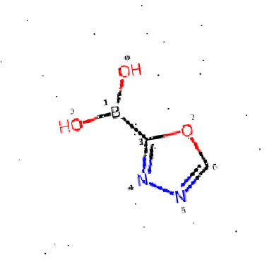 OB(O)c1nnco1